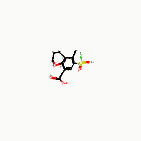 Cc1c(S(=O)(=O)Cl)cc(C(=O)O)c2c1CCCO2